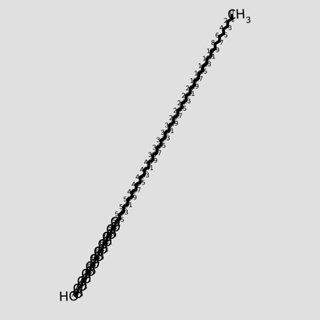 CCCCCCCCCCCCCCCCCCCCCCCCCCCCCCCCCCCCCCCCCCCCCCCCCCCCCCCCOOOOOOOOOOOOOOOOOOOOO